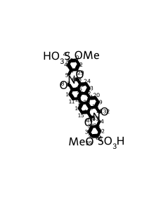 COc1ccc(CN2C(=O)c3ccc4c5ccc6c7c(ccc(c8ccc(c3c48)C2=O)c75)C(=O)N(Cc2ccc(OC)c(S(=O)(=O)O)c2)C6=O)cc1S(=O)(=O)O